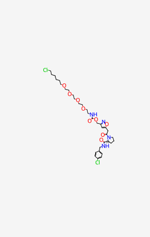 O=C(NCCOCCOCCOCCOCCCCCCCl)OCc1cc(CC(=O)N2CCC[C@H]2C(=O)NCc2ccc(Cl)cc2)on1